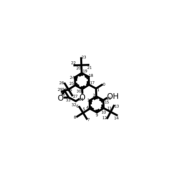 CC(c1cc(C(C)(C)C)cc(C(C)(C)C)c1O)c1cc(C(C)(C)C)cc(C(C)(C)C)c1OCC1CO1